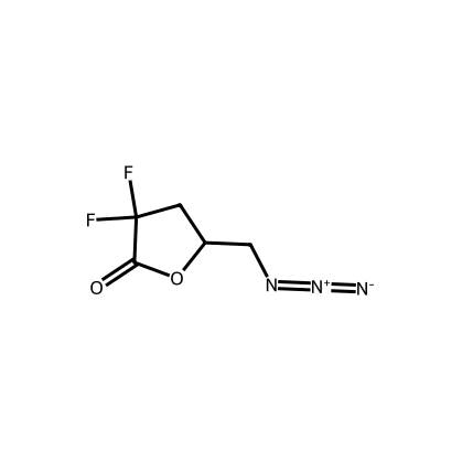 [N-]=[N+]=NCC1CC(F)(F)C(=O)O1